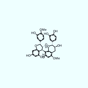 COc1ccc([C@H]2Oc3cc(O)cc(O)c3[C@H](c3c(O)cc(OC)c4c3O[C@H](c3ccc(O)c(O)c3)[C@@H](O)C4)[C@H]2O)cc1O